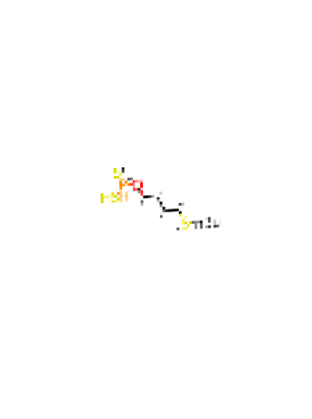 CCCCSCCCCO[PH](=S)S